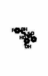 O=C1S[C@H](CCC[C@@H](O)c2ccc(F)cc2)[C@@H](c2ccc(CO)cc2O)N1c1ccccc1